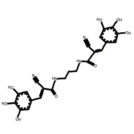 N#C/C(=C\c1cc(O)c(O)c(O)c1)C(=O)NCCCNC(=O)/C(C#N)=C/c1cc(O)c(O)c(O)c1